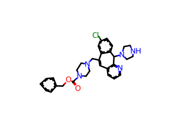 O=C(OCc1ccccc1)N1CCN(CC2=Cc3cccnc3C(N3CCNCC3)c3ccc(Cl)cc32)CC1